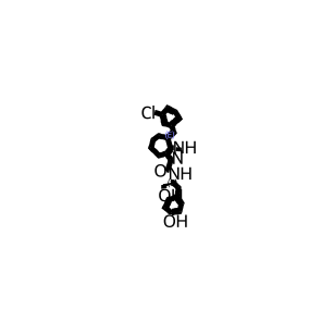 O=C(N[C@H](CO)Cc1ccc(O)cc1)c1n[nH]c2c1CCCC/C2=C\c1cccc(Cl)c1